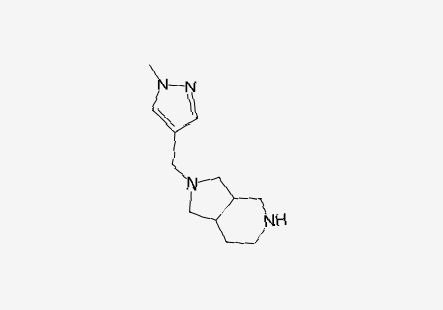 Cn1cc(CN2CC3CCNCC3C2)cn1